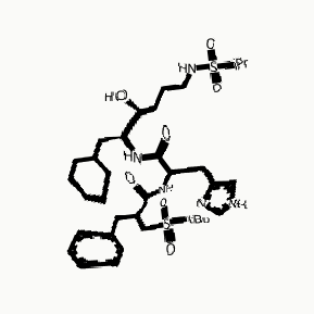 CC(C)S(=O)(=O)NCCC[C@H](O)[C@H](CC1CCCCC1)NC(=O)C(Cc1c[nH]cn1)NC(=O)C(Cc1ccccc1)CS(=O)(=O)C(C)(C)C